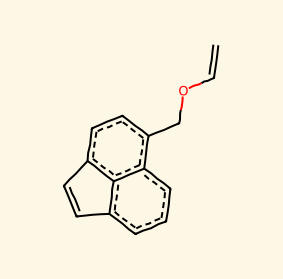 C=COCc1ccc2c3c(cccc13)C=C2